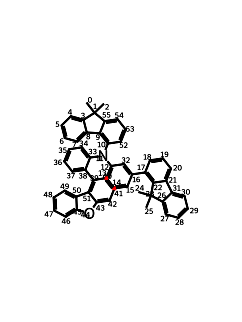 CC1(C)c2ccccc2-c2c(N(c3cccc(-c4cccc5c4C(C)(C)c4ccccc4-5)c3)c3ccccc3-c3cccc4oc5ccccc5c34)cccc21